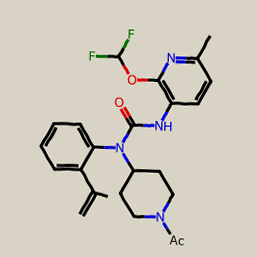 C=C(C)c1ccccc1N(C(=O)Nc1ccc(C)nc1OC(F)F)C1CCN(C(C)=O)CC1